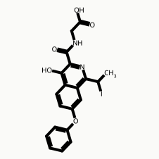 CC(I)c1nc(C(=O)NCC(=O)O)c(O)c2ccc(Oc3ccccc3)cc12